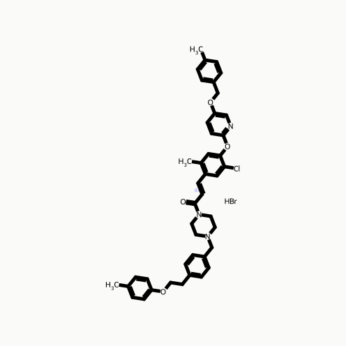 Br.Cc1ccc(COc2ccc(Oc3cc(C)c(/C=C/C(=O)N4CCN(Cc5ccc(CCOc6ccc(C)cc6)cc5)CC4)cc3Cl)nc2)cc1